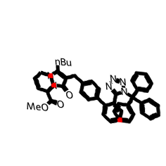 CCCCc1c(Cc2ccc(-c3ccccc3-c3nnnn3C(c3ccccc3)(c3ccccc3)c3ccccc3)cc2)c(=O)n2n1C1C=CC2(C(=O)OC)CC1